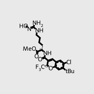 COC(=O)[C@H](CCCCNC(N)=NO)NC(=O)C1=Cc2cc(Cl)c(C(C)(C)C)cc2O[C@@H]1C(F)(F)F